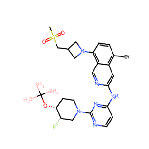 BC(B)(B)O[C@@H]1CCN(c2nccc(Nc3cc4c(C(C)C)ccc(N5CC(CS(C)(=O)=O)C5)c4cn3)n2)C[C@@H]1F